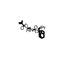 C=C(C)C(=O)OCCNC(=O)OC1(CC(C)C)C2CC3CC(C2)CC1C3